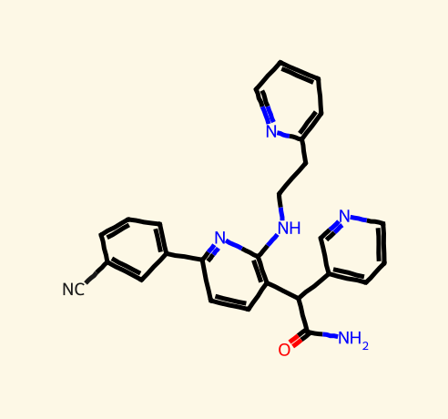 N#Cc1cccc(-c2ccc(C(C(N)=O)c3cccnc3)c(NCCc3ccccn3)n2)c1